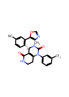 CN1C(=O)N(c2cccc(C(F)(F)F)c2)C2=C(C(=O)NCC2)[C@@H]1c1ccc(C#N)cc1-c1cnco1